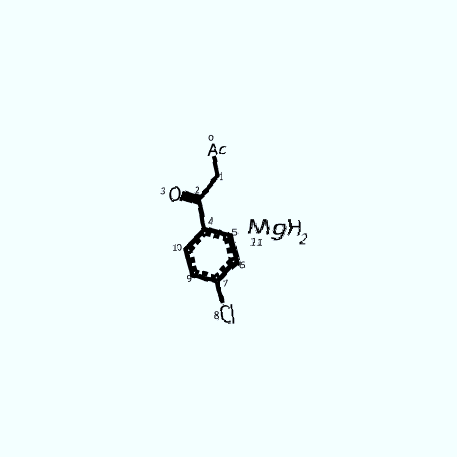 CC(=O)CC(=O)c1ccc(Cl)cc1.[MgH2]